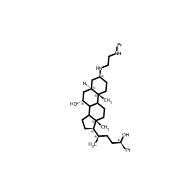 CC(C)NCCN[C@H]1CC[C@]2(C)C3CC[C@@]4(C)C(CC[C@@H]4[C@H](C)CC[C@@H](O)C(C)C)C3[C@H](O)C[C@H]2C1